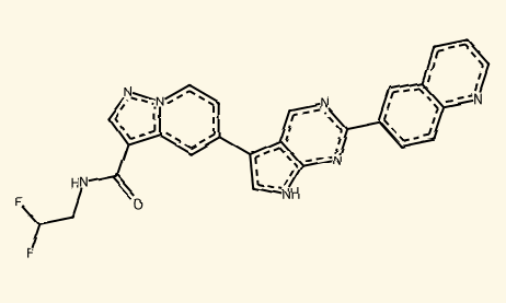 O=C(NCC(F)F)c1cnn2ccc(-c3c[nH]c4nc(-c5ccc6ncccc6c5)ncc34)cc12